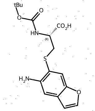 CC(C)(C)OC(=O)N[C@@H](CSc1cc2occc2cc1N)C(=O)O